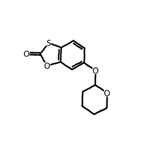 O=c1oc2cc(OC3CCCCO3)ccc2s1